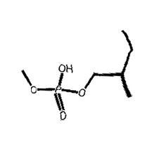 CCC(C)COP(=O)(O)OC